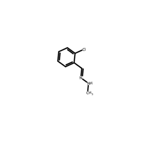 CN/N=C/c1ccccc1Cl